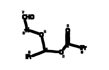 CC(C)C(=O)OC(O[N]C=O)C(C)C